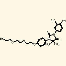 CC1(C)C(=O)N(c2ccc(C#N)c(C(F)(F)F)c2)C(=S)N1c1ccc(OCCOCCOCCO)cc1